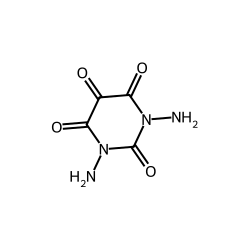 NN1C(=O)C(=O)C(=O)N(N)C1=O